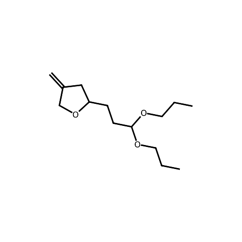 C=C1COC(CCC(OCCC)OCCC)C1